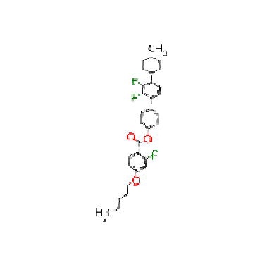 C=CCCCOc1ccc(C(=O)Oc2ccc(-c3ccc(C4CCC(C)CC4)c(F)c3F)cc2)c(F)c1